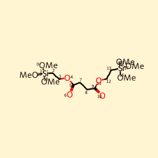 CO[Si](CCOC(=O)CCC(=O)OCC[Si](OC)(OC)OC)(OC)OC